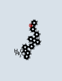 CC1(C)c2cccc(-c3cccc(-c4c5ccccc5c(-c5cccc(-c6ccc7oc8ccccc8c7c6)c5)c5ccccc45)c3)c2-c2ccc3ccccc3c21